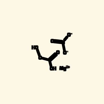 O=C(O)OO.O=[Si]([O-])[O-].[Mg+2]